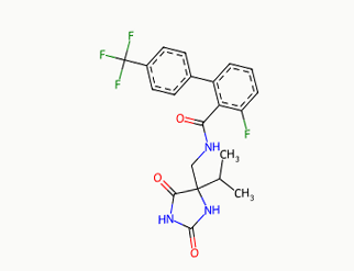 CC(C)C1(CNC(=O)c2c(F)cccc2-c2ccc(C(F)(F)F)cc2)NC(=O)NC1=O